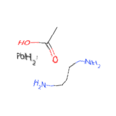 CC(=O)O.NCCN.[PbH2]